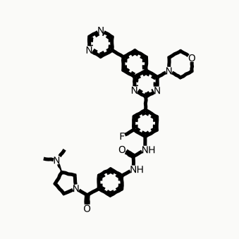 CN(C)[C@@H]1CCN(C(=O)c2ccc(NC(=O)Nc3ccc(-c4nc(N5CCOCC5)c5ccc(-c6cncnc6)cc5n4)cc3F)cc2)C1